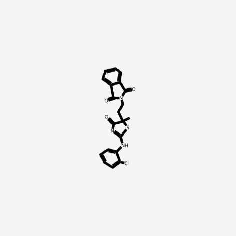 CC1(CCN2C(=O)c3ccccc3C2=O)SC(Nc2ccccc2Cl)=NC1=O